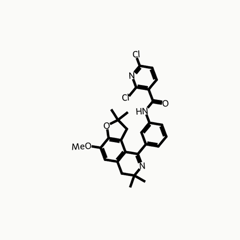 COc1cc2c(c3c1OC(C)(C)C3)C(c1cccc(NC(=O)c3ccc(Cl)nc3Cl)c1)=NC(C)(C)C2